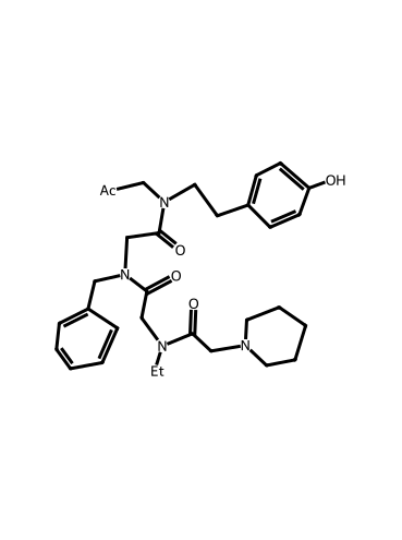 CCN(CC(=O)N(CC(=O)N(CCc1ccc(O)cc1)CC(C)=O)Cc1ccccc1)C(=O)CN1CCCCC1